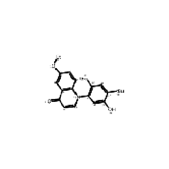 CCOc1ccc2c(c1)c(=O)ccn2-c1cc(O)c(C(C)(C)C)cc1C(C)(C)C